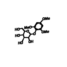 COc1cc(OC)c(OC2OC(CO)C(O)[C@H](O)C2O)c(OC)c1